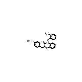 O=C(O)c1ccc(CC2Oc3ccccc3N(Cc3ccccc3C(F)(F)F)C2=O)cc1